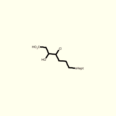 CCCCCCCCCCC(Cl)C(O)CC(=O)O